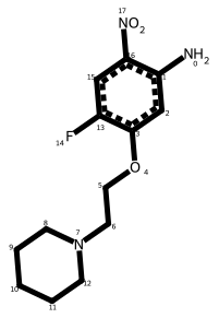 Nc1cc(OCCN2CCCCC2)c(F)cc1[N+](=O)[O-]